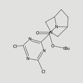 CC(C)(C)OC(=O)N1C2CCC1CN(c1nc(Cl)nc(Cl)n1)C2